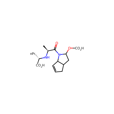 CCC[C@H](N[C@@H](C)C(=O)N1C(OC(=O)O)CC2CC=CC21)C(=O)O